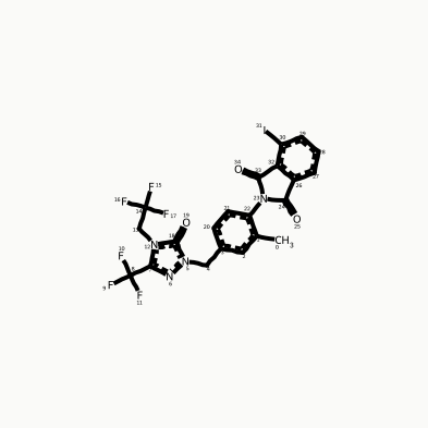 Cc1cc(Cn2nc(C(F)(F)F)n(CC(F)(F)F)c2=O)ccc1N1C(=O)c2cccc(I)c2C1=O